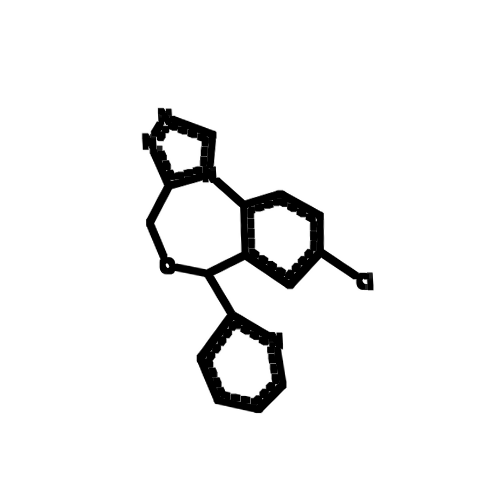 Clc1ccc2c(c1)C(c1ccccn1)OCc1nncn1-2